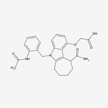 CC(=O)Nc1ccccc1Cn1c2c(c3c(OCC(=O)O)cccc31)C(C(N)=O)CCCC2